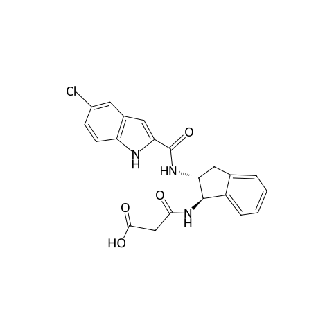 O=C(O)CC(=O)N[C@@H]1c2ccccc2C[C@H]1NC(=O)c1cc2cc(Cl)ccc2[nH]1